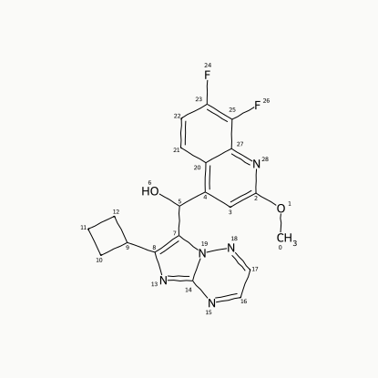 COc1cc(C(O)c2c(C3CCC3)nc3nccnn23)c2ccc(F)c(F)c2n1